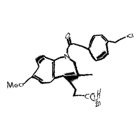 COc1ccc2c(c1)c(CC(=O)O)c(C)n2C(=O)c1ccc(Cl)cc1.[Zn]